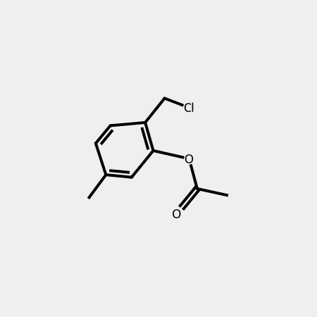 CC(=O)Oc1cc(C)ccc1CCl